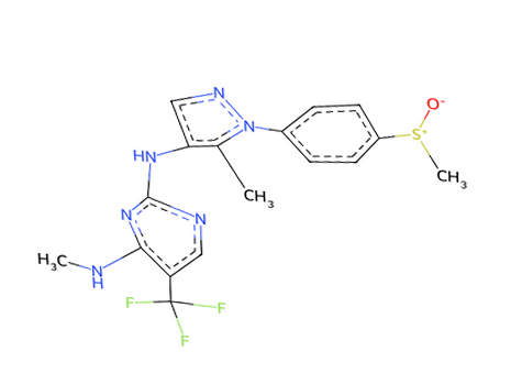 CNc1nc(Nc2cnn(-c3ccc([S+](C)[O-])cc3)c2C)ncc1C(F)(F)F